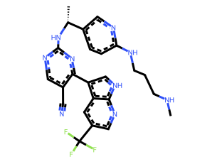 CNCCCNc1ccc([C@@H](C)Nc2ncc(C#N)c(-c3c[nH]c4ncc(C(F)(F)F)cc34)n2)cn1